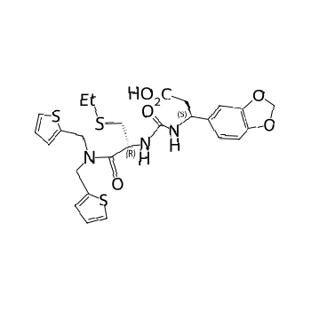 CCSC[C@H](NC(=O)N[C@@H](CC(=O)O)c1ccc2c(c1)OCO2)C(=O)N(Cc1cccs1)Cc1cccs1